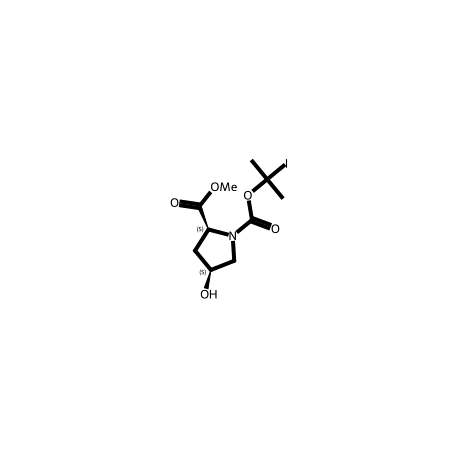 COC(=O)[C@@H]1C[C@H](O)CN1C(=O)OC(C)(C)I